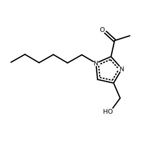 CCCCCCn1cc(CO)nc1C(C)=O